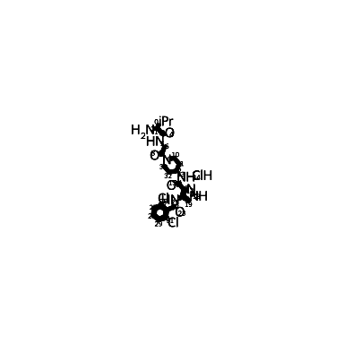 CC(C)C(N)C(=O)NCC(=O)N1CCC(NC(=O)c2n[nH]cc2NC(=O)c2c(Cl)cccc2Cl)CC1.Cl